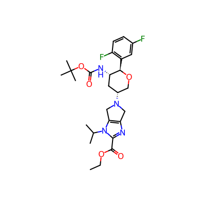 CCOC(=O)c1nc2c(n1C(C)C)CN([C@H]1CO[C@H](c3cc(F)ccc3F)[C@@H](NC(=O)OC(C)(C)C)C1)C2